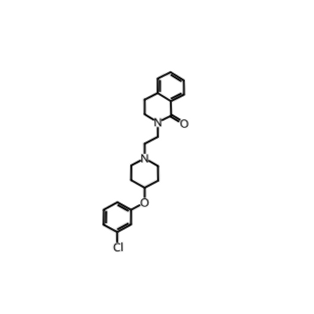 O=C1c2ccccc2CCN1CCN1CCC(Oc2cccc(Cl)c2)CC1